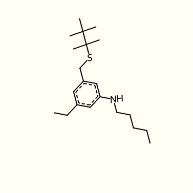 CCCCCNc1cc(CC)cc(CSC(C)(C)C(C)(C)C)c1